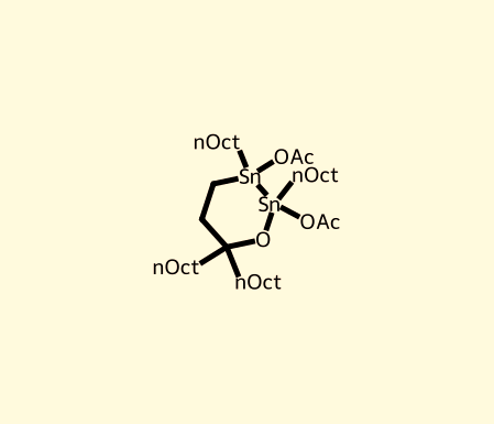 CCCCCCCCC1(CCCCCCCC)C[CH2][Sn]([CH2]CCCCCCC)([O]C(C)=O)[Sn]([CH2]CCCCCCC)([O]C(C)=O)[O]1